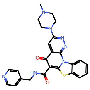 CN1CCN(c2cc3c(=O)c(C(=O)NCc4ccncc4)c4sc5ccccc5n4c3nn2)CC1